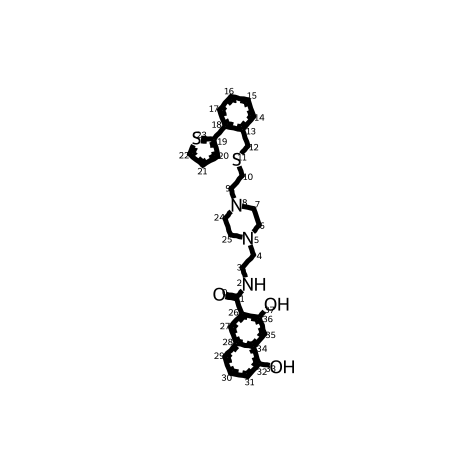 O=C(NCCN1CCN(CCSCc2ccccc2-c2cccs2)CC1)c1cc2cccc(O)c2cc1O